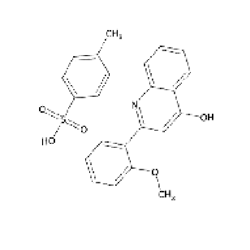 COc1ccccc1-c1cc(O)c2ccccc2n1.Cc1ccc(S(=O)(=O)O)cc1